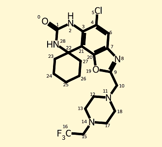 O=C1Nc2c(Cl)cc3nc(CN4CCN(CC(F)(F)F)CC4)oc3c2C2(CCCCC2)N1